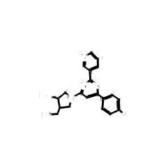 OCC1CN(c2cc(-c3ccc(Cl)cc3)nc(-c3cccnc3)n2)CC1O